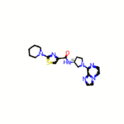 O=C(N[C@H]1CCN(c2nccn3ccnc23)C1)c1csc(N2CCCCC2)n1